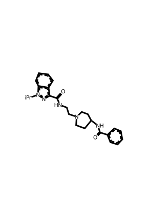 CC(C)n1nc(C(=O)NCCN2CCC(NC(=O)c3ccccc3)CC2)c2ccccc21